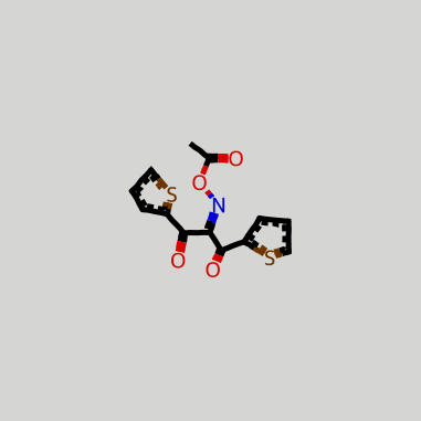 CC(=O)ON=C(C(=O)c1cccs1)C(=O)c1cccs1